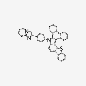 c1ccc2c(c1)sc1c2ccc2c1c1c3ccccc3c3ccccc3c1n2-c1ccc(-c2cn3ccccc3n2)cc1